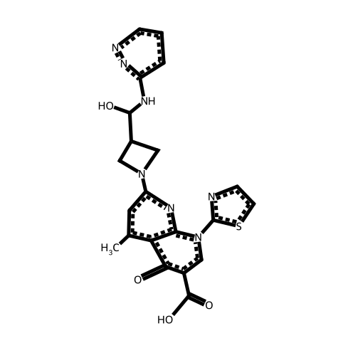 Cc1cc(N2CC(C(O)Nc3cccnn3)C2)nc2c1c(=O)c(C(=O)O)cn2-c1nccs1